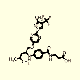 Cc1nn(-c2ncc(OC[C@H](CC(C)C)Nc3ccc(C(=O)NCCC(=O)O)cc3)cn2)cc1C(F)(F)F